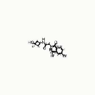 C[C@]1(O)C[C@@H](NC(=O)Cn2nc(Br)c3cc(Br)ccc3c2=O)C1